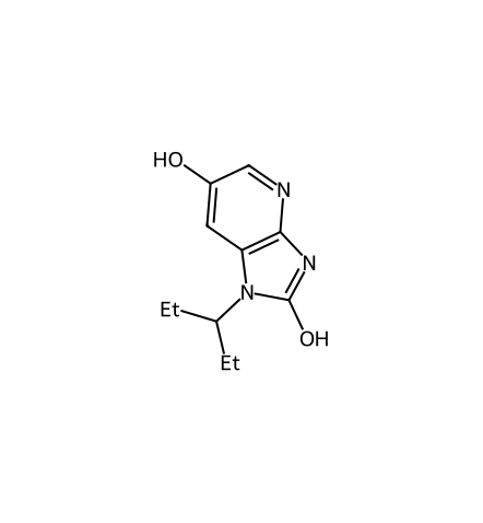 CCC(CC)n1c(O)nc2ncc(O)cc21